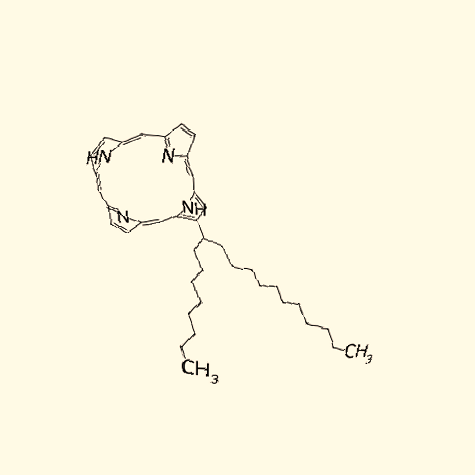 CCCCCCCCCCCC(CCCCCCCC)c1cc2cc3nc(cc4ccc(cc5nc(cc1[nH]2)C=C5)[nH]4)C=C3